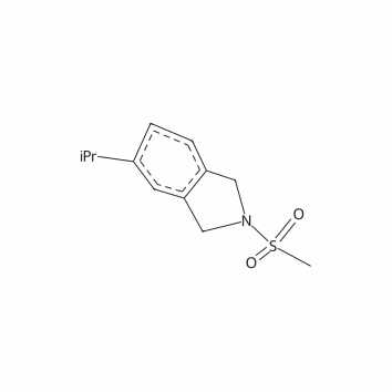 CC(C)c1ccc2c(c1)CN(S(C)(=O)=O)C2